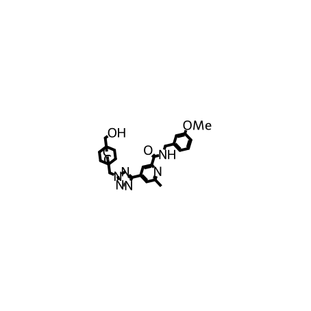 COc1cccc(CNC(=O)c2cc(-c3nnn(CC45CCC(CO)(CC4)CC5)n3)cc(C)n2)c1